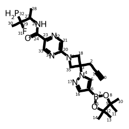 C#CCC1(n2cc(B3OC(C)(C)C(C)(C)O3)cn2)CN(c2cnc(C(=O)NC(C)C(C)(F)P)cn2)C1